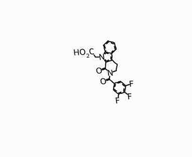 O=C(O)Cn1c2c(c3ccccc31)CCN(C(=O)c1cc(F)c(F)c(F)c1)C2=O